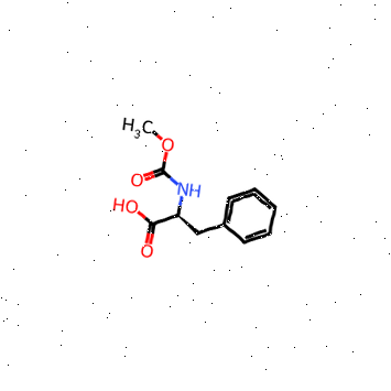 COC(=O)N[C@@H](CC1=C=C=CC=C1)C(=O)O